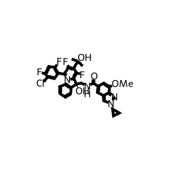 COc1cc(C(=O)NC[C@@](O)(c2ccccc2)c2nc(-c3cc(Cl)c(F)cc3F)c(F)c(C(C)(C)O)c2F)cc2cn(C3CC3)nc12